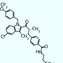 Cc1c(C(=O)[C@H](C)Cc2ccc(C(=O)NCCC(=O)O)cc2)n(Cc2ccc(OC(F)(F)F)cc2)c2ccc(Cl)cc12